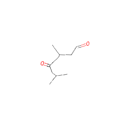 CC(C)C(=O)C(C)CC=O